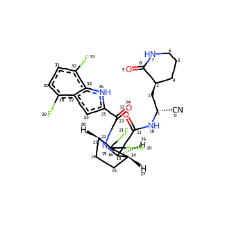 N#C[C@@H](C[C@@H]1CCCNC1=O)NC(=O)[C@H]1[C@@H]2CC[C@@H](CC2(F)F)N1C(=O)c1cc2c(F)ccc(F)c2[nH]1